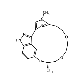 C[C@@H]1COCCOCCc2nc(cn2C)-c2n[nH]c3ccc(cc23)O1